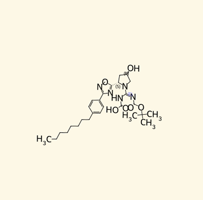 CCCCCCCCc1ccc(-c2noc([C@@H]3C[C@@H](O)CN3/C(=N/C(=O)OC(C)(C)C)NC(=O)O)n2)cc1